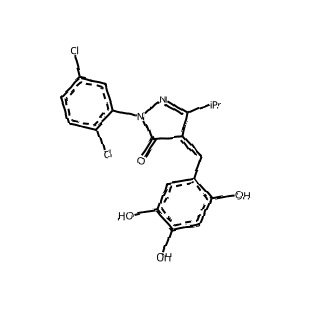 CC(C)C1=NN(c2cc(Cl)ccc2Cl)C(=O)C1=Cc1cc(O)c(O)cc1O